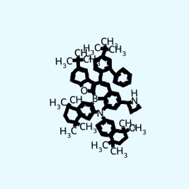 CC(C)(C)C1=CC2C3=C(OC2C=C1)B1c2cc4c(cc2N(c2ccc5c(c2)C(C)(C)CCC5(C)C)c2cc(C5CCN5)cc(c21)C=C3c1ccc(C(C)(C)C)cc1-c1ccccc1)C(C)(C)CCC4(C)C